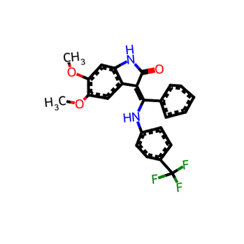 COc1cc2c(cc1OC)C(=C(Nc1ccc(C(F)(F)F)cc1)c1ccccc1)C(=O)N2